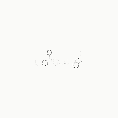 N#Cc1cc2c(OCC(O)CN3CCN(C(c4ccccc4)c4ccc(OC(F)F)cc4)CC3)cccc2[nH]1